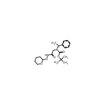 C[C@@H](c1ccccc1)N(CC(=O)NOC1CCCCO1)C(=O)OC(C)(C)C